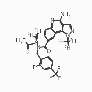 [2H]C([2H])([2H])N(C(C)=O)N(Cc1ccc(C(F)(F)F)cc1F)C(=O)c1ccc2nc(N)c3cnn(C([2H])([2H])[2H])c3c2c1